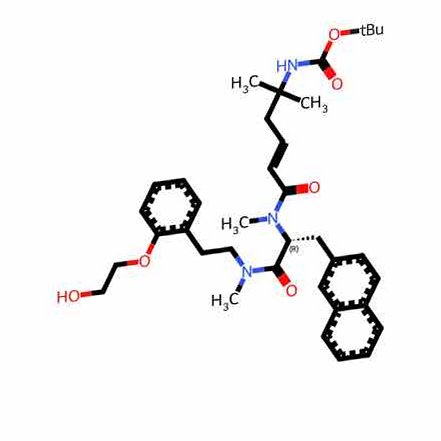 CN(CCc1ccccc1OCCO)C(=O)[C@@H](Cc1ccc2ccccc2c1)N(C)C(=O)C=CCC(C)(C)NC(=O)OC(C)(C)C